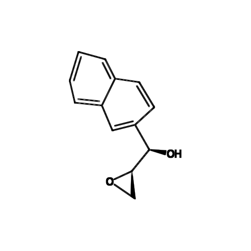 O[C@H](c1ccc2ccccc2c1)[C@H]1CO1